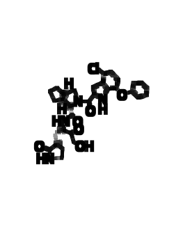 O=C1NCC[C@H]1C[C@H](NC(=O)[C@@H]1[C@H]2CCC[C@H]2CN1C(=O)c1cc2c(Cl)ccc(Oc3ccccc3)c2[nH]1)C(=O)CO